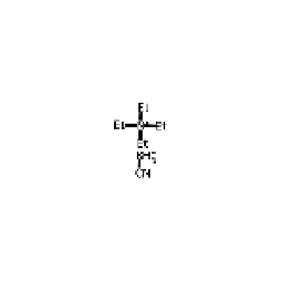 CC[N+](CC)(CC)CC.[BH3-]C#N